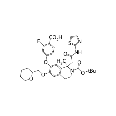 CC(C)(C)OC(=O)N1CCc2cc(OCC3CCCCO3)c(Oc3ccc(C(=O)O)c(F)c3)cc2[C@@]1(C)CC(=O)Nc1nccs1